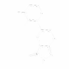 O=c1[nH]nc2ccc(-c3cccc(F)c3F)cn12